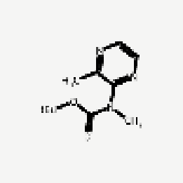 Cc1nccnc1N(C)C(=O)OC(C)(C)C